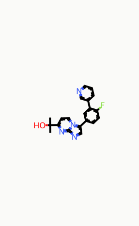 CC(C)(O)c1ccn2c(-c3ccc(F)c(-c4cccnc4)c3)cnc2n1